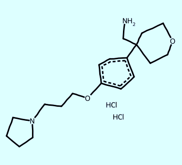 Cl.Cl.NCC1(c2ccc(OCCCN3CCCC3)cc2)CCOCC1